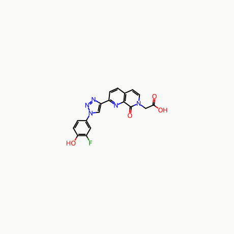 O=C(O)Cn1ccc2ccc(-c3cn(-c4ccc(O)c(F)c4)nn3)nc2c1=O